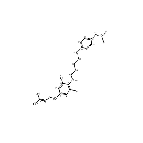 Cc1cc(OCC=C(Cl)Cl)cc(Cl)c1OCCCCOc1ccc(OC(C)C)cc1